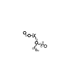 Cc1oc(-c2ccc(Oc3ccccc3)cc2)nc1CCOc1ccc(CCC(=O)OC(C)(C)C)c(COC(=O)NC2CCCCC2)c1